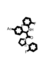 CC(=O)c1ccc(C(Nc2c(F)cccc2F)C(=O)N2CCC[C@H]2c2ccccc2F)cc1